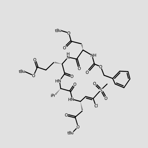 CC(C)[C@H](NC(=O)[C@H](CCC(=O)OC(C)(C)C)NC(=O)[C@H](CC(=O)OC(C)(C)C)NC(=O)OCc1ccccc1)C(=O)N[C@H](/C=C(\Cl)S(C)(=O)=O)CC(=O)OC(C)(C)C